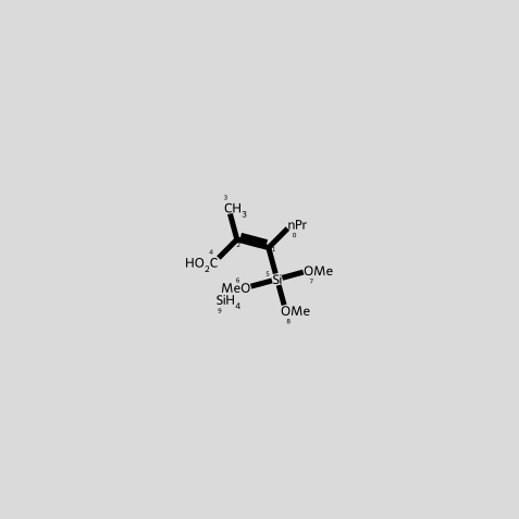 CCCC(=C(C)C(=O)O)[Si](OC)(OC)OC.[SiH4]